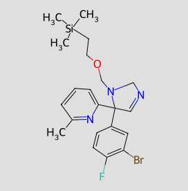 Cc1cccc(C2(c3ccc(F)c(Br)c3)C=NCN2COCC[Si](C)(C)C)n1